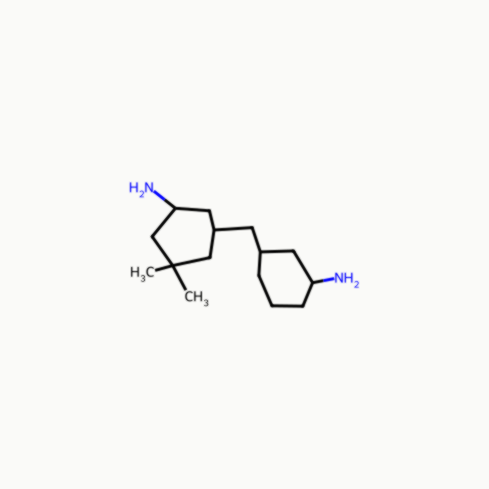 CC1(C)CC(N)CC(CC2CCCC(N)C2)C1